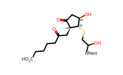 CCCCCC(O)CS[C@H]1[C@H](O)CC(=O)[C@@H]1CC(=O)CCCCC(=O)O